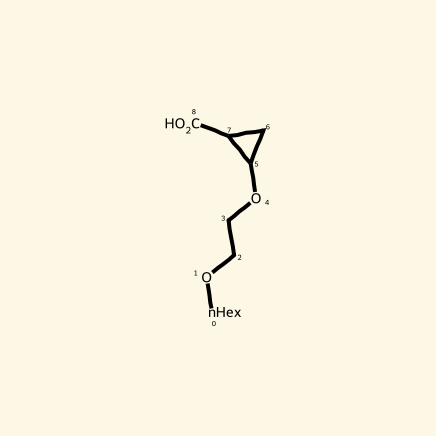 CCCCCCOCCOC1CC1C(=O)O